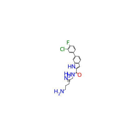 NCCC[C@H](N)CNC(=O)c1cc2ccc(-c3ccc(F)c(Cl)c3)cc2[nH]1